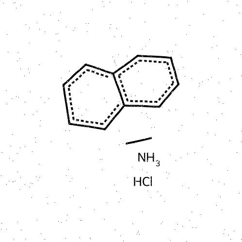 CC.Cl.N.c1ccc2ccccc2c1